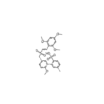 COc1cc(OC)c(C=CS(=O)(=O)Cc2ccc(OC)c(-c3cc(C)ccc3S(=O)(=O)O)c2)c(OC)c1